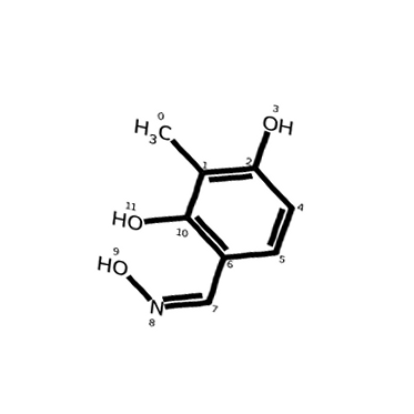 Cc1c(O)ccc(/C=N\O)c1O